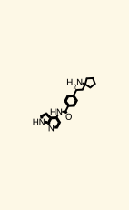 NC1(CCc2ccc(C(=O)Nc3ccnc4[nH]ccc34)cc2)CCCC1